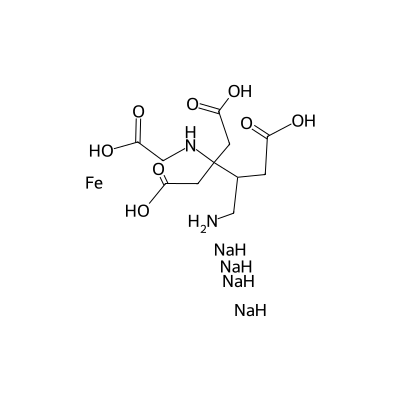 NCC(CC(=O)O)C(CC(=O)O)(CC(=O)O)NCC(=O)O.[Fe].[NaH].[NaH].[NaH].[NaH]